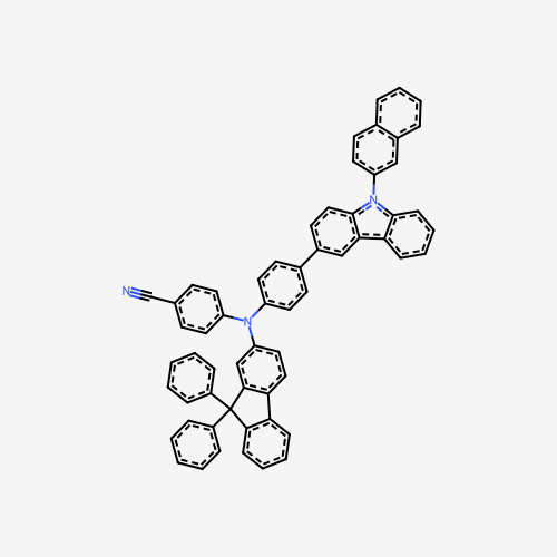 N#Cc1ccc(N(c2ccc(-c3ccc4c(c3)c3ccccc3n4-c3ccc4ccccc4c3)cc2)c2ccc3c(c2)C(c2ccccc2)(c2ccccc2)c2ccccc2-3)cc1